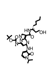 CCCCC[C@H](CCO)NC(=O)c1cnn2c(N(C)C(=O)OC(C)(C)C)cc(Nc3cccn(C(C)C)c3=O)nc12